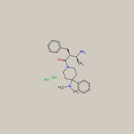 C[C@H](N)[C@H](Cc1ccccc1)C(=O)N1CCC(c2ccccc2)(N(C)C)CC1.Cl.Cl